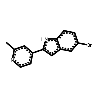 Cc1cc(-c2cc3cc(Br)ccc3[nH]2)ccn1